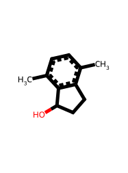 Cc1ccc(C)c2c1CCC2O